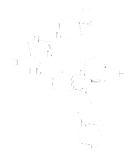 CC1CN(c2ncc(Cl)c(Nc3ccc4c(c3)n(CCC(C)(C)O)c(=O)n4CCN3CCOCC3)n2)C[C@H](C)C1(F)F